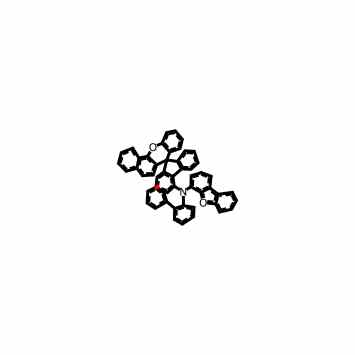 c1ccc(-c2ccccc2N(c2cccc3c2-c2ccccc2C32c3ccccc3Oc3c2ccc2ccccc32)c2cccc3c2oc2ccccc23)cc1